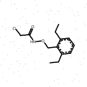 CCc1cccc(CC)c1CONC(=O)CCl